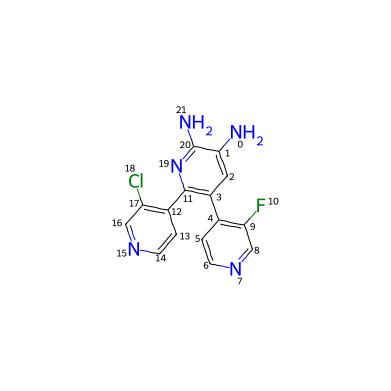 Nc1cc(-c2ccncc2F)c(-c2ccncc2Cl)nc1N